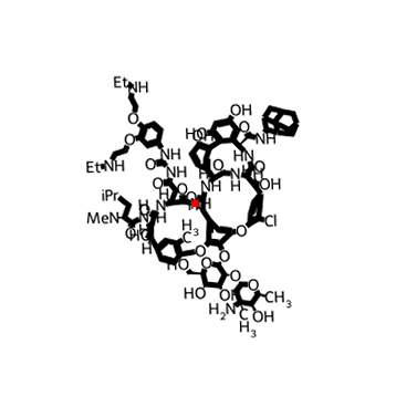 CCNCCOc1ccc(NC(=O)NC(=O)C[C@@H]2NC(=O)[C@H](NC(=O)[C@@H](CC(C)C)NC)[C@H](O)c3ccc(c(C)c3)Oc3cc4cc(c3O[C@@H]3O[C@H](CO)[C@@H](O)[C@H](O)[C@H]3O[C@H]3C[C@](C)(N)[C@H](O)[C@H](C)O3)Oc3ccc(cc3Cl)[C@@H](O)[C@@H]3NC(=O)[C@H](NC(=O)[C@@H]4NC2=O)c2ccc(O)c(c2)-c2c(O)cc(O)cc2[C@@H](C(=O)NC2C4CC5CC(C4)CC2C5)NC3=O)cc1OCCNCC